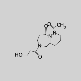 CC(=O)N1CCCC2CN(C(=O)CCO)CCC(=O)N21